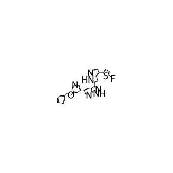 Fc1ccc(-c2ccnc3[nH]c(-c4n[nH]c5ncc(-c6cncc(OCc7ccccc7)c6)cc45)cc23)s1